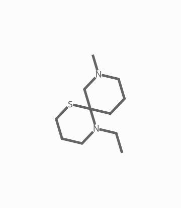 CCN1CCCSC12CCCN(C)C2